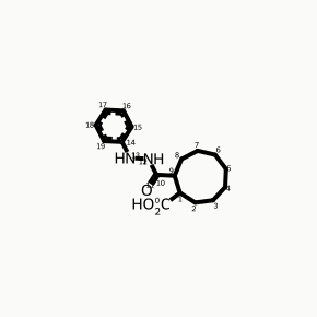 O=C(O)C1CCCCCCCC1C(=O)NNc1ccccc1